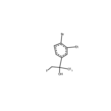 CCc1cc(C(O)(CF)C(F)(F)F)ccc1Br